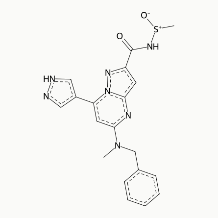 CN(Cc1ccccc1)c1cc(-c2cn[nH]c2)n2nc(C(=O)N[S+](C)[O-])cc2n1